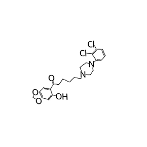 O=C(CCCCCN1CCN(c2cccc(Cl)c2Cl)CC1)c1cc2c(cc1O)OCO2